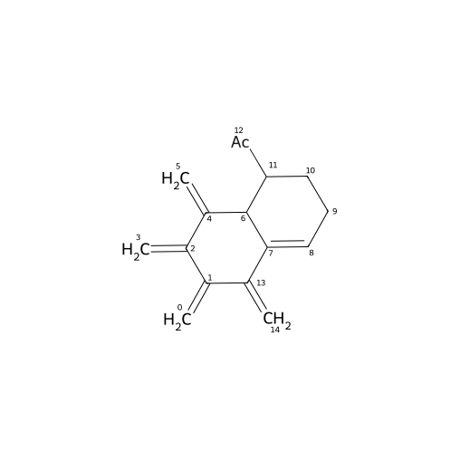 C=C1C(=C)C(=C)C2C(=CCCC2C(C)=O)C1=C